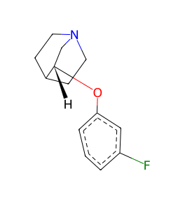 Fc1cccc(O[C@H]2CN3CCC2CC3)c1